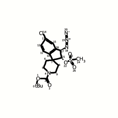 CC(C)(C)OC(=O)N1CCC2(CC1)c1ccc(Cl)cc1[C@@H](N=[N+]=[N-])[C@@H]2OS(C)(=O)=O